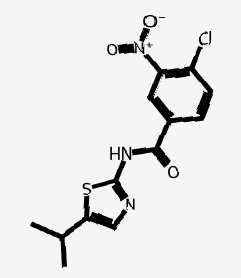 CC(C)c1cnc(NC(=O)c2ccc(Cl)c([N+](=O)[O-])c2)s1